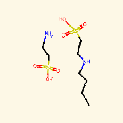 CCCCNCCS(=O)(=O)O.NCCS(=O)(=O)O